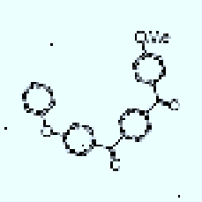 COc1ccc(C(=O)c2ccc(C(=O)c3ccc(Oc4ccccc4)cc3)cc2)cc1